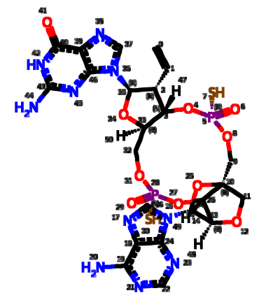 C=C[C@@H]1[C@@H]2O[P@](=O)(S)OC[C@@]34CO[C@@H]([C@H](n5cnc6c(N)ncnc65)O3)[C@@H]4O[P@@](=O)(S)OC[C@H]2O[C@H]1n1cnc2c(=O)[nH]c(N)nc21